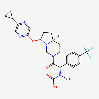 CN(C(=O)O)[C@@H](C(=O)N1CC[C@@H]2CC[C@H](Oc3cnc(C4CC4)cn3)N2C1)c1ccc(C(F)(F)F)cc1